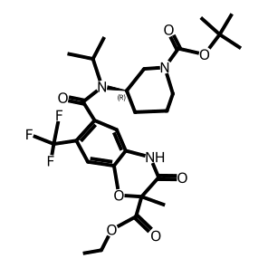 CCOC(=O)C1(C)Oc2cc(C(F)(F)F)c(C(=O)N(C(C)C)[C@@H]3CCCN(C(=O)OC(C)(C)C)C3)cc2NC1=O